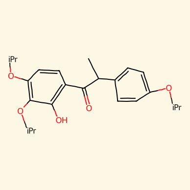 CC(C)Oc1ccc(C(C)C(=O)c2ccc(OC(C)C)c(OC(C)C)c2O)cc1